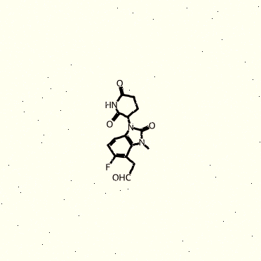 Cn1c(=O)n(C2CCC(=O)NC2=O)c2ccc(F)c(CC=O)c21